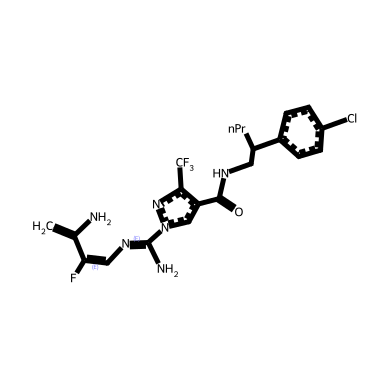 C=C(N)/C(F)=C\N=C(/N)n1cc(C(=O)NCC(CCC)c2ccc(Cl)cc2)c(C(F)(F)F)n1